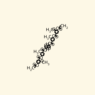 C=CC(=O)Oc1ccc(C(=O)Oc2ccc(C(=O)O[C@@H]3CO[C@H]4[C@@H]3OC[C@H]4OC(=O)c3ccc(OC(=O)c4ccc(OC(=O)C=C)c(OC)c4)c(C)c3)c(C)c2)c(OC)c1